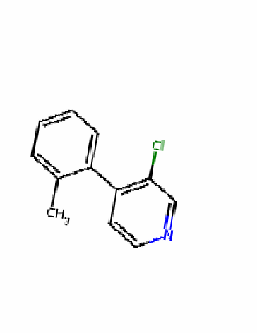 Cc1ccccc1-c1ccncc1Cl